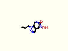 CCCn1ncc2c1CN1CC2N(O)C1=O